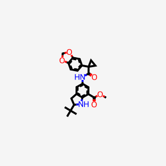 COC(=O)c1cc(NC(=O)C2(c3ccc4c(c3)OCO4)CC2)cc2c1NC(C(C)(C)C)C2